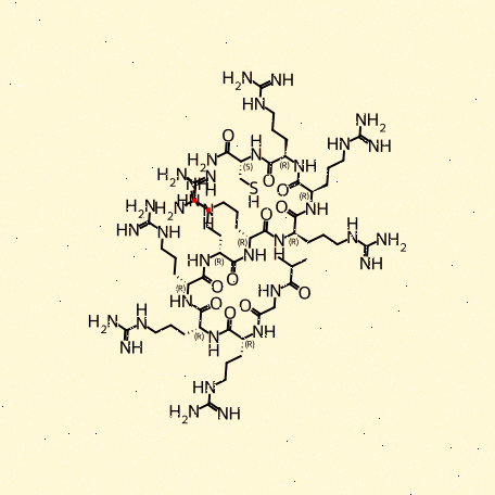 CC(C)C(=O)NCC(=O)N[C@H](CCCNC(=N)N)C(=O)N[C@H](CCCNC(=N)N)C(=O)N[C@H](CCCNC(=N)N)C(=O)N[C@H](CCCNC(=N)N)C(=O)N[C@H](CCCNC(=N)N)C(=O)N[C@H](CCCNC(=N)N)C(=O)N[C@H](CCCNC(=N)N)C(=O)N[C@H](CCCNC(=N)N)C(=O)N[C@H](CS)C(N)=O